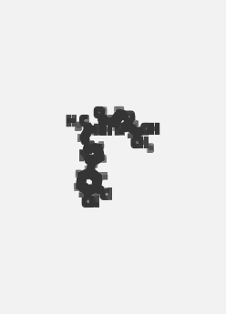 CC(Cn1ccc(-c2ccc(C#N)c(Cl)c2)n1)NC(=O)c1coc(C(C)O)n1